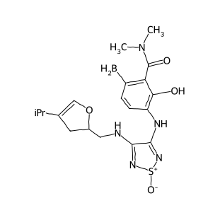 Bc1ccc(Nc2n[s+]([O-])nc2NCC2CC(C(C)C)=CO2)c(O)c1C(=O)N(C)C